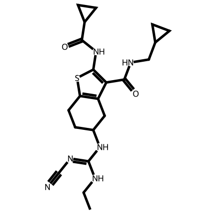 CCNC(=NC#N)NC1CCc2sc(NC(=O)C3CC3)c(C(=O)NCC3CC3)c2C1